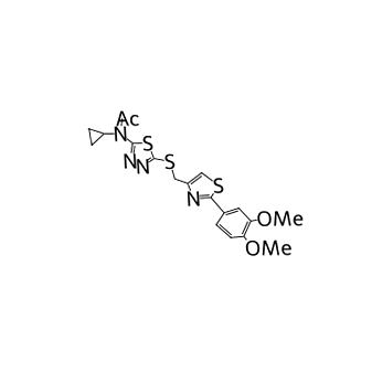 COc1ccc(-c2nc(CSc3nnc(N(C(C)=O)C4CC4)s3)cs2)cc1OC